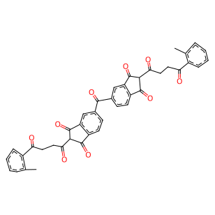 Cc1ccccc1C(=O)CCC(=O)C1C(=O)c2ccc(C(=O)c3ccc4c(c3)C(=O)C(C(=O)CCC(=O)c3ccccc3C)C4=O)cc2C1=O